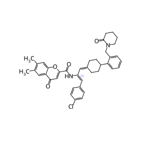 Cc1cc2oc(C(=O)N/C(C=C3CCC(c4ccccc4CN4CCCCC4=O)CC3)=C\c3ccc(Cl)cc3)cc(=O)c2cc1C